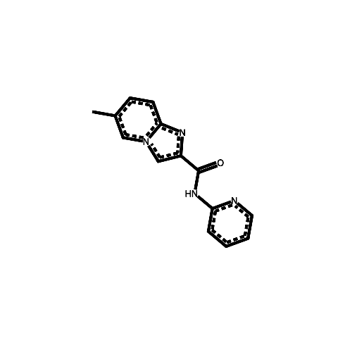 Cc1ccc2nc(C(=O)Nc3ccccn3)cn2c1